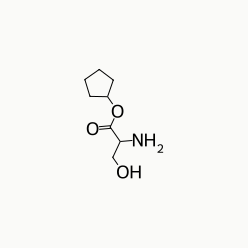 NC(CO)C(=O)OC1CCCC1